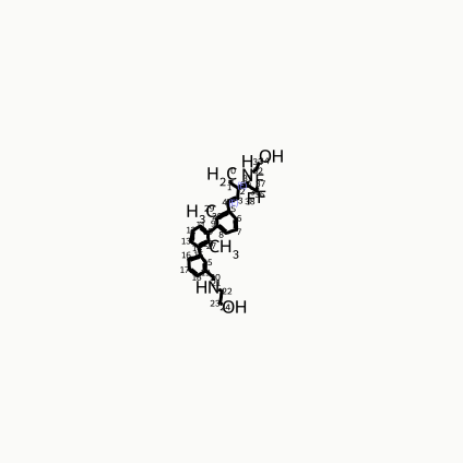 C=CC(/C=C/c1cccc(-c2cccc(-c3cccc(CNCCO)c3)c2C)c1C)=C(\NCCO)C(F)(F)F